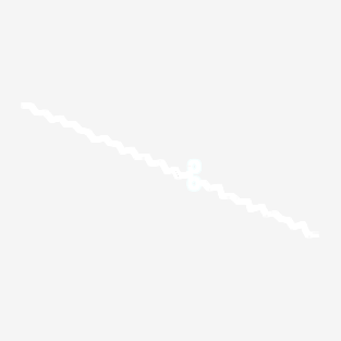 CCCCCCCCCCCCCCCCCCCCCC=CC(=O)OCCCCCCCCCCCCCCCCC